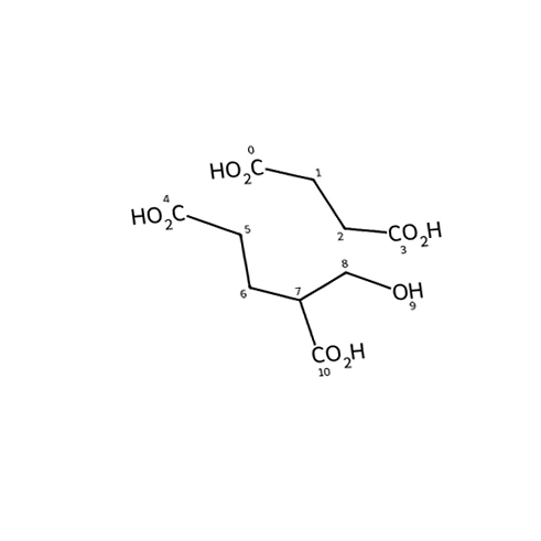 O=C(O)CCC(=O)O.O=C(O)CCC(CO)C(=O)O